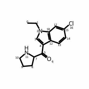 CCn1cc(C(=O)C2CCCN2)c2ccc(Cl)cc21